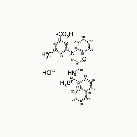 Cc1cc(C(=O)O)cc(N2CC(CN[C@H](C)c3cccc4ccccc34)Oc3ccccc32)c1.Cl